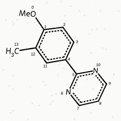 COc1ccc(-c2ncccn2)cc1C